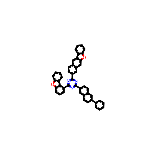 c1ccc(-c2ccc3cc(-c4nc(-c5ccc6cc7c(cc6c5)oc5ccccc57)nc(-c5cccc6oc7ccccc7c56)n4)ccc3c2)cc1